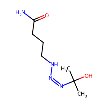 CC(C)(O)/N=N\NCCCC(N)=O